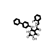 O=C(NCc1ccccc1F)c1c(Nc2ccc(-c3ccccc3)cc2)[nH]c(=O)n(O)c1=O